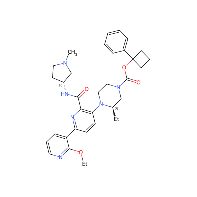 CCOc1ncccc1-c1ccc(N2CCN(C(=O)OC3(c4ccccc4)CCC3)C[C@H]2CC)c(C(=O)N[C@@H]2CCN(C)C2)n1